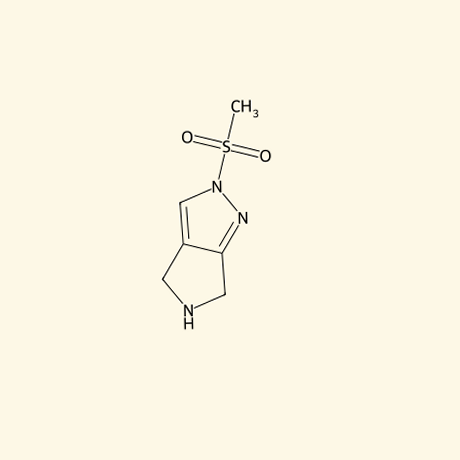 CS(=O)(=O)n1cc2c(n1)CNC2